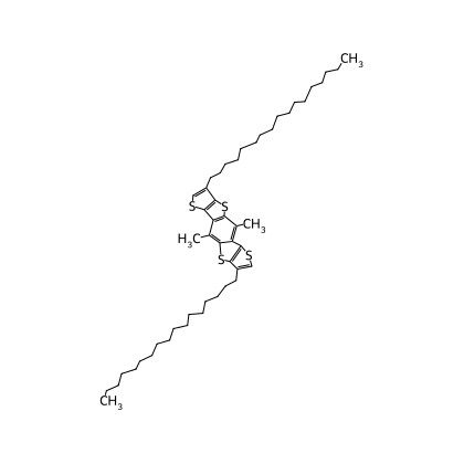 CCCCCCCCCCCCCCCCCc1csc2c1sc1c(C)c3c(sc4c(CCCCCCCCCCCCCCCCC)csc43)c(C)c12